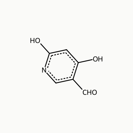 O=Cc1cnc(O)cc1O